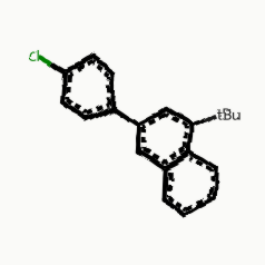 CC(C)(C)c1cc(-c2ccc(Cl)cc2)cc2ccccc12